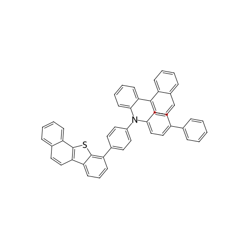 c1ccc(-c2ccc(N(c3ccc(-c4cccc5c4sc4c6ccccc6ccc54)cc3)c3ccccc3-c3cccc4ccccc34)cc2)cc1